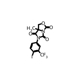 CC12COC(=O)N1C(=O)N(c1ccc(I)c(C(F)(F)F)c1)C2=O